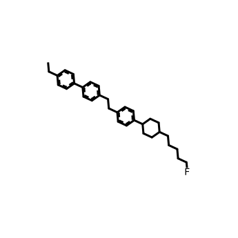 CCc1ccc(-c2ccc(CCc3ccc(C4CCC(CCCCCF)CC4)cc3)cc2)cc1